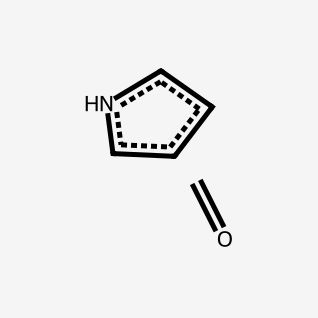 C=O.c1cc[nH]c1